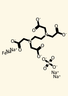 O=C([O-])CN(CCN(CC(=O)[O-])CC(=O)[O-])CC(=O)[O-].O=S(=O)([O-])[O-].[Fe+2].[Na+].[Na+].[Na+].[Na+]